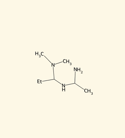 CCC(NC(C)N)N(C)C